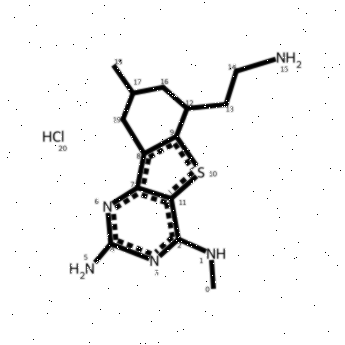 CNc1nc(N)nc2c3c(sc12)C(CCN)CC(C)C3.Cl